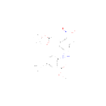 COC(=O)c1cc(C2CC2)ccc1Nc1ccc([N+](=O)[O-])c(CC(=O)OC(C)(C)C)c1